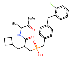 CNC(=O)C(NC(=O)C(CC1CCC1)CP(=O)(O)Cc1ccc(Cc2ccccc2F)cc1)C(C)(C)C